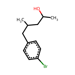 CC(O)CC(C)Cc1ccc(Br)cc1